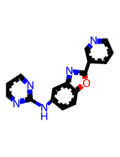 c1cnc(Nc2ccc3oc(-c4cccnc4)nc3c2)nc1